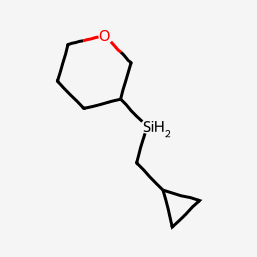 C1COCC([SiH2]CC2CC2)C1